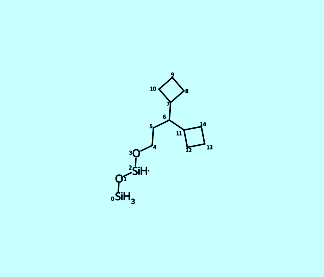 [SiH3]O[SiH]OCCC(C1CCC1)C1CCC1